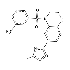 Cc1coc(-c2ccc3c(c2)N(S(=O)(=O)c2cccc(C(F)(F)F)c2)CCO3)n1